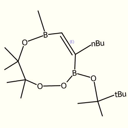 CCCC/C1=C/B(C)OC(C)(C)C(C)(C)OOB1OC(C)(C)C(C)(C)C